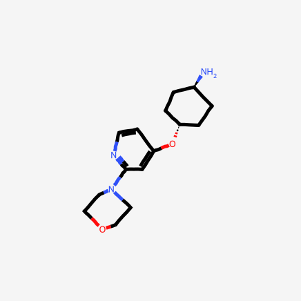 N[C@H]1CC[C@H](Oc2ccnc(N3CCOCC3)c2)CC1